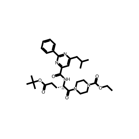 CCOC(=O)N1CCN(C(=O)[C@H](CCC(=O)OC(C)(C)C)NC(=O)c2cc(CC(C)C)nc(-c3ccccc3)n2)CC1